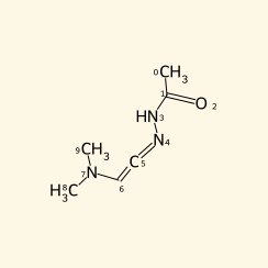 CC(=O)NN=C=CN(C)C